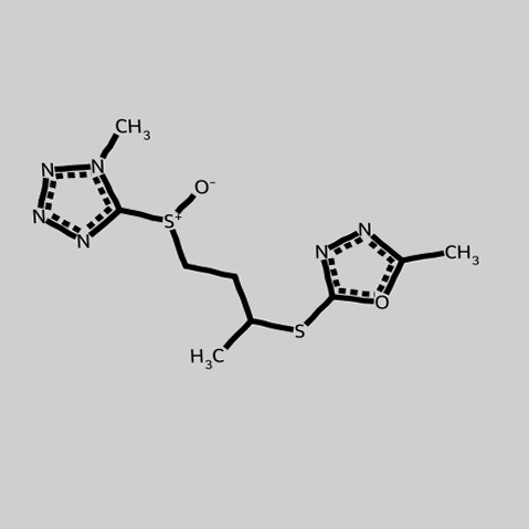 Cc1nnc(SC(C)CC[S+]([O-])c2nnnn2C)o1